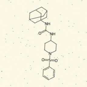 O=C(NC1CCN(S(=O)(=O)c2ccccc2)CC1)NC12CC3CC(CC(C3)C1)C2